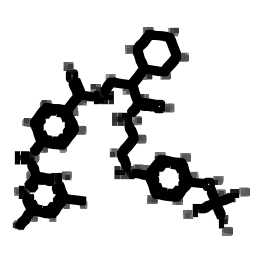 Cc1cc(C)nc(Nc2ccc(C(=O)NCC(C(=O)NCCNc3ccc(OC(F)(F)F)cc3)C3CCCCC3)cc2)n1